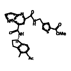 COC(=O)c1cc(CNC(=O)c2cc(C(=O)N[C@H]3CCc4c3ccc(C(C)=O)c4C)n3nccc3n2)cs1